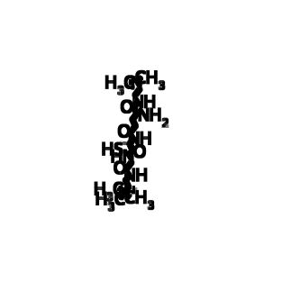 CN(C)CCNC(=O)[C@@H](N)CCC(=O)N[C@@H](CS)C(=O)NCC(=O)NCC[N+](C)(C)C